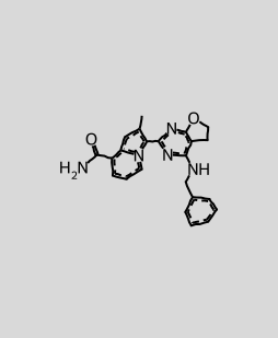 Cc1cc2c(C(N)=O)cccn2c1-c1nc(NCc2ccccc2)c2c(n1)OCC2